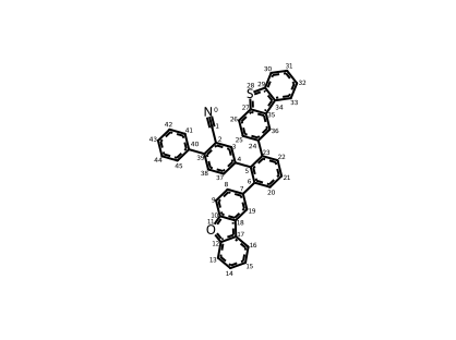 N#Cc1cc(-c2c(-c3ccc4oc5ccccc5c4c3)cccc2-c2ccc3sc4ccccc4c3c2)ccc1-c1ccccc1